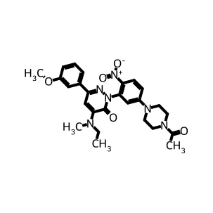 CCN(C)c1cc(-c2cccc(OC)c2)nn(-c2cc(N3CCN(C(C)=O)CC3)ccc2[N+](=O)[O-])c1=O